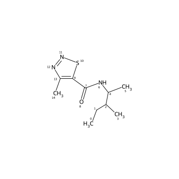 CCC(C)C(C)NC(=O)c1snnc1C